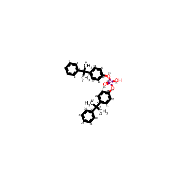 CC(C)(c1ccccc1)c1ccc(OP(=O)(O)Oc2ccc(C(C)(C)c3ccccc3)cc2)cc1